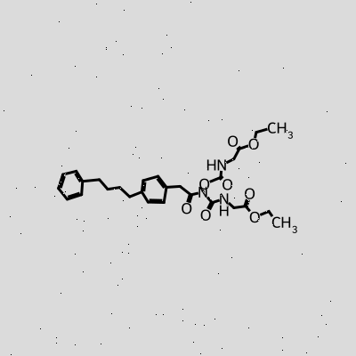 CCOC(=O)CNC(=O)ON(C(=O)Cc1ccc(CCCCc2ccccc2)cc1)C(=O)NCC(=O)OCC